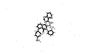 C[C@H](Nc1ncnc2cccnc12)c1cc2cccc(-c3ccc(N)nc3)c2c(=O)n1-c1ccccc1